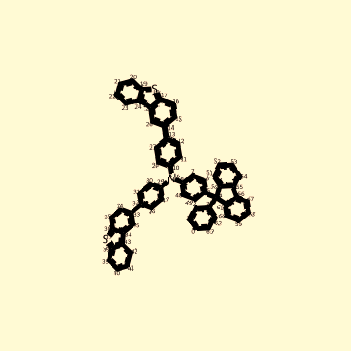 c1ccc(C2(c3ccc(N(c4ccc(-c5ccc6sc7ccccc7c6c5)cc4)c4ccc(-c5ccc6sc7ccccc7c6c5)cc4)cc3)c3ccccc3-c3ccccc32)cc1